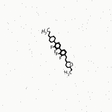 C=CC1CCC(CCc2ccc(-c3ccc(C4CCC(CCC)CC4)c(F)c3F)c(F)c2F)CO1